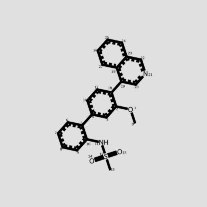 COc1cc(-c2ccccc2NS(C)(=O)=O)ccc1-c1cncc2ccccc12